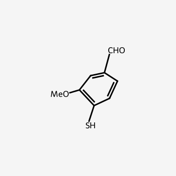 COc1cc(C=O)ccc1S